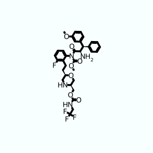 COC(=O)N(C(=O)[C@@H](N)[C@H](c1ccccc1)c1cccc(OC)c1)c1cccc(F)c1CC[C@@H]1CN[C@H](COC(=O)NCC(F)(F)F)CO1